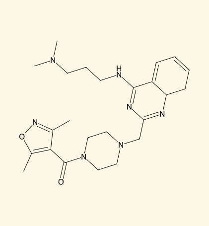 Cc1noc(C)c1C(=O)N1CCN(CC2=NC3CC=CC=C3C(NCCCN(C)C)=N2)CC1